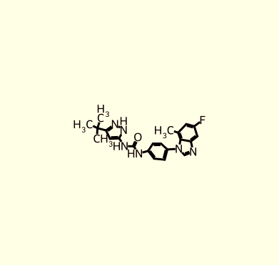 Cc1cc(F)cc2ncn(-c3ccc(NC(=O)Nc4cc(C(C)(C)C)n[nH]4)cc3)c12